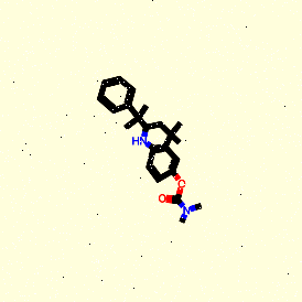 CN(C)C(=O)Oc1ccc2c(c1)C(C)(C)CC(C(C)(C)c1ccccc1)N2